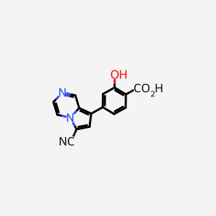 N#Cc1cc(-c2ccc(C(=O)O)c(O)c2)c2cnccn12